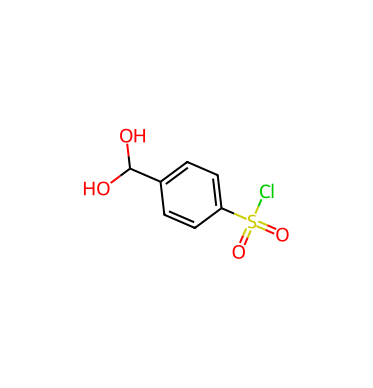 O=S(=O)(Cl)c1ccc(C(O)O)cc1